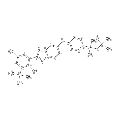 Cc1cc(-n2nc3ccc(Sc4ccc(C(C)(C)CC(C)(C)C)cc4)cc3n2)c(O)c(C(C)(C)C)c1